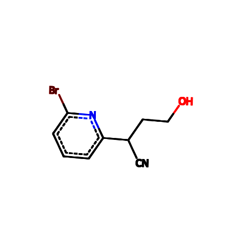 N#CC(CCO)c1cccc(Br)n1